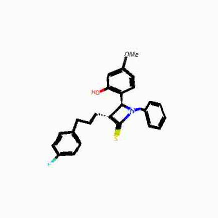 COc1ccc([C@@H]2[C@@H](CCCc3ccc(F)cc3)C(=S)N2c2ccccc2)c(O)c1